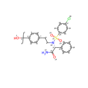 CC(C)(O)c1ccc(CCN([C@@H](C(N)=O)c2ccccc2)S(=O)(=O)c2ccc(Cl)cc2)cc1